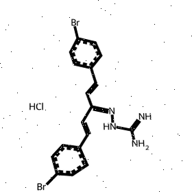 Cl.N=C(N)NN=C(/C=C/c1ccc(Br)cc1)/C=C/c1ccc(Br)cc1